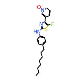 CCCCCCCCc1ccc(Nc2nc(-c3ccc[n+]([O-])c3)c(F)s2)cc1